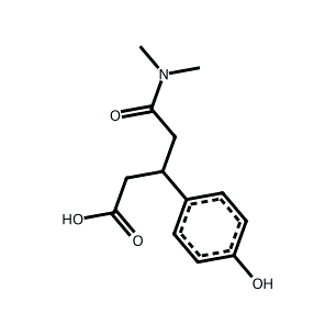 CN(C)C(=O)CC(CC(=O)O)c1ccc(O)cc1